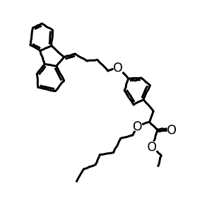 CCCCCCCOC(Cc1ccc(OCCCC=C2c3ccccc3-c3ccccc32)cc1)C(=O)OCC